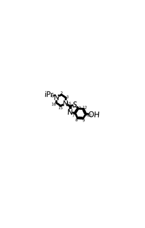 CC(C)N1CCN(c2nc3ccc(O)cc3s2)CC1